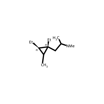 CC[C@@H]1C(C)[C@@]1(CC)CC(C)NC